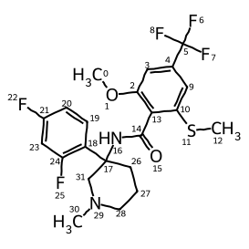 COc1cc(C(F)(F)F)cc(SC)c1C(=O)NC1(c2ccc(F)cc2F)CCCN(C)C1